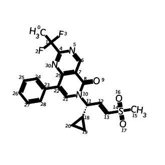 CC(F)(F)c1ncc2c(=O)n([C@H](/C=C/S(C)(=O)=O)C3CC3)cc(-c3ccccc3)c2n1